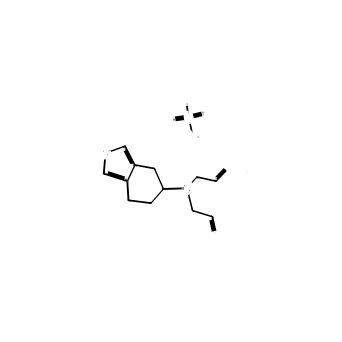 C=CCN(CC=C)C1CCc2c[nH]cc2C1.O=S(=O)(O)O